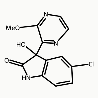 COc1nccnc1C1(O)C(=O)Nc2ccc(Cl)cc21